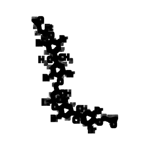 CCC(CC)(CC(O)COc1c(Br)cc(C(C)(C)c2cc(Br)c(OC(CC)(CC)CC3CO3)c(Br)c2)cc1Br)Oc1c(Br)cc(C(C)(C)c2cc(Br)c(OCC3CO3)c(Br)c2)cc1Br